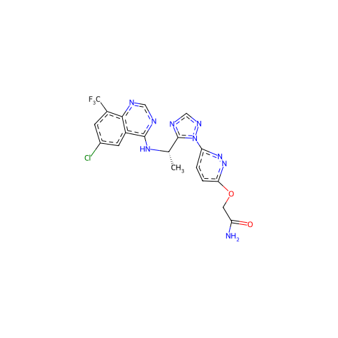 C[C@H](Nc1ncnc2c(C(F)(F)F)cc(Cl)cc12)c1ncnn1-c1ccc(OCC(N)=O)nn1